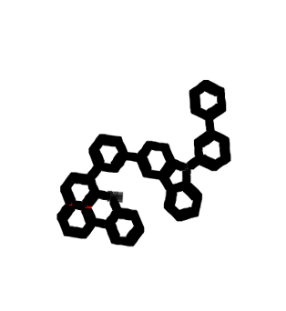 C1=C(c2cccc(-c3ccccc3Nc3ccccc3-c3ccccc3)c2)CCc2c1c1ccccc1n2-c1cccc(-c2ccccc2)c1